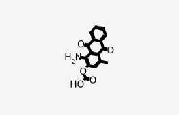 Cc1cc(OC(=O)O)c(N)c2c1C(=O)c1ccccc1C2=O